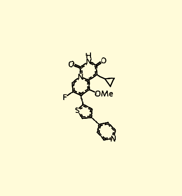 COc1c(-c2cc(-c3ccncc3)cs2)c(F)cn2c(=O)[nH]c(=O)c(C3CC3)c12